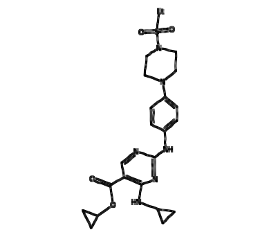 CCS(=O)(=O)N1CCN(c2ccc(Nc3ncc(C(=O)OC4CC4)c(NC4CC4)n3)cc2)CC1